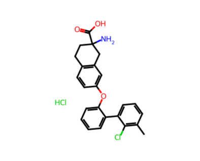 Cc1cccc(-c2ccccc2Oc2ccc3c(c2)CC(N)(C(=O)O)CC3)c1Cl.Cl